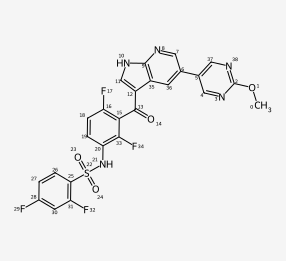 COc1ncc(-c2cnc3[nH]cc(C(=O)c4c(F)ccc(NS(=O)(=O)c5ccc(F)cc5F)c4F)c3c2)cn1